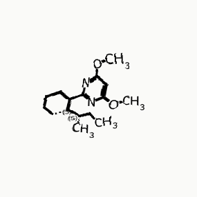 CC[C@H](C)[C@@H]1CCCCC1c1nc(OC)cc(OC)n1